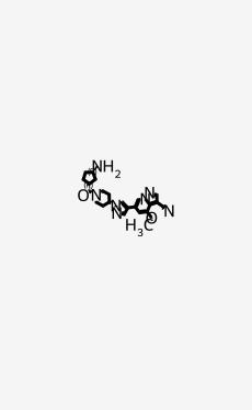 COc1cc(-c2cnn(C3CCN(C(=O)[C@@H]4CC[C@@H](N)C4)CC3)c2)cn2ncc(C#N)c12